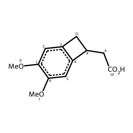 COc1cc2c(cc1OC)C(CC(=O)O)C2